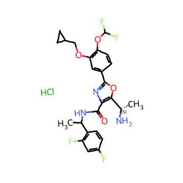 CC(NC(=O)c1nc(-c2ccc(OC(F)F)c(OCC3CC3)c2)oc1[C@H](C)N)c1ccc(F)cc1F.Cl